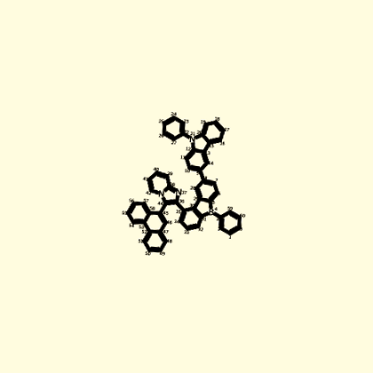 c1ccc(B2c3ccc(-c4ccc5c(c4)c4ccccc4n5-c4ccccc4)cc3-c3c2cccc3-c2nc3ccccn3c2-c2cc3ccccc3c3ccccc23)cc1